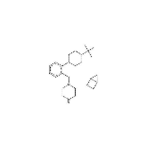 C1CC2CC12.CC(C)(C)C1CCC(c2ccccc2CN2CCNCC2)CC1